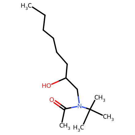 CCCCCCC(O)CN(C(C)=O)C(C)(C)C